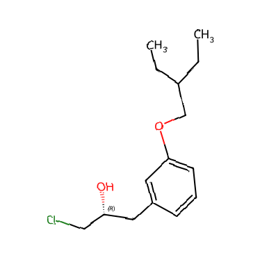 CCC(CC)COc1cccc(C[C@@H](O)CCl)c1